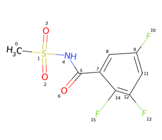 CS(=O)(=O)NC(=O)c1cc(F)cc(F)c1F